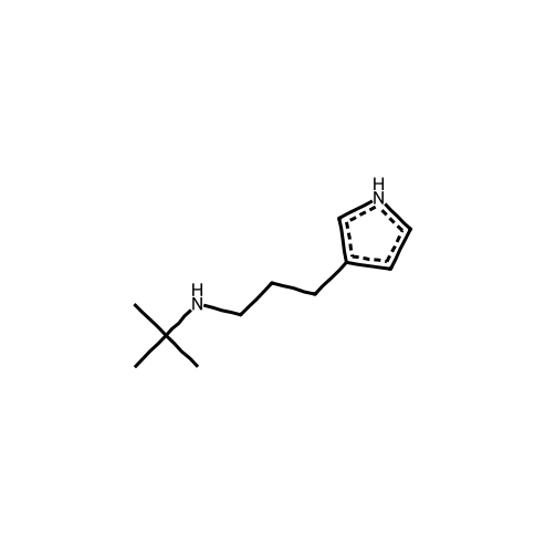 CC(C)(C)NCCCc1cc[nH]c1